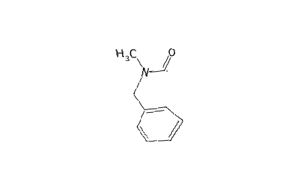 CN([C]=O)Cc1ccccc1